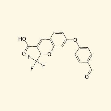 O=Cc1ccc(Oc2ccc3c(c2)OC(C(F)(F)F)C(C(=O)O)=C3)cc1